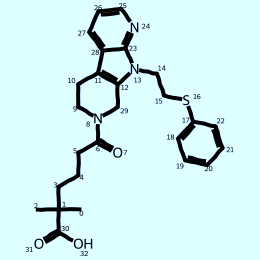 CC(C)(CCCC(=O)N1CCc2c(n(CCSc3ccccc3)c3ncccc23)C1)C(=O)O